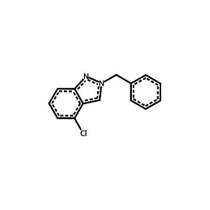 Clc1cccc2nn(Cc3ccccc3)cc12